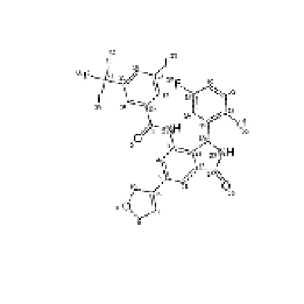 O=C(Nc1cc(C2=CCOC2)cc2c1C(c1cc(F)ccc1Cl)NC2=O)c1cc(F)cc(C(F)(F)F)c1